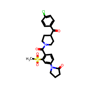 CS(=O)(=O)c1cc(N2CCCC2=O)ccc1C(=O)N1CCC(C(=O)c2ccc(Cl)cc2)CC1